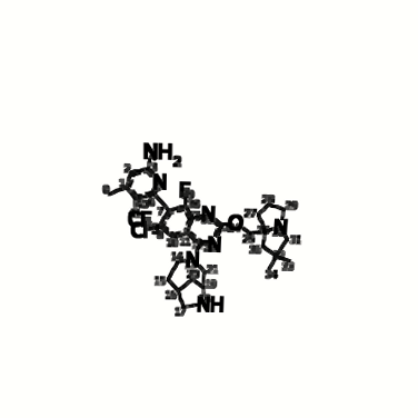 Cc1cc(N)nc(-c2c(Cl)cc3c(N4CCC5CNC(C5)C4)nc(OCC45CCCN4CC(C)(C)C5)nc3c2F)c1C(F)(F)F